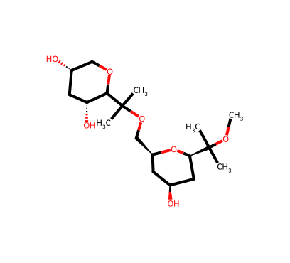 COC(C)(C)[C@H]1C[C@@H](O)C[C@@H](COC(C)(C)C2OC[C@@H](O)C[C@H]2O)O1